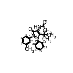 Cc1cccc(-n2c(=O)c(NC=O)c(C(C)(C)C)n2-c2ccccc2)c1